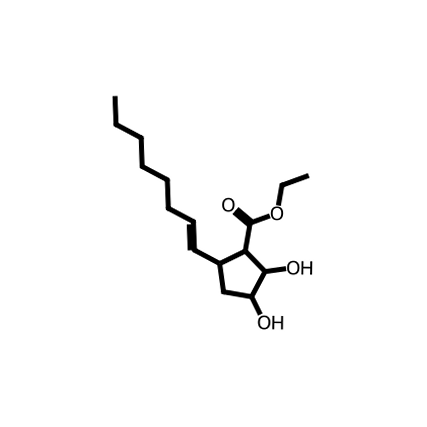 CCCCCCC=CC1CC(O)C(O)C1C(=O)OCC